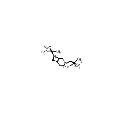 CC(C)(C)CN1CCC2CN(C(C)(C)C)C2C1